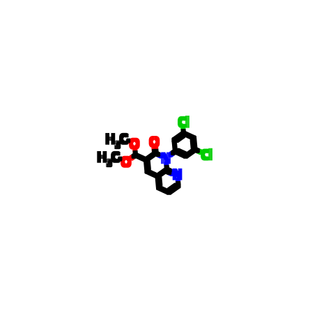 COC(OC)c1cc2cccnc2n(-c2cc(Cl)cc(Cl)c2)c1=O